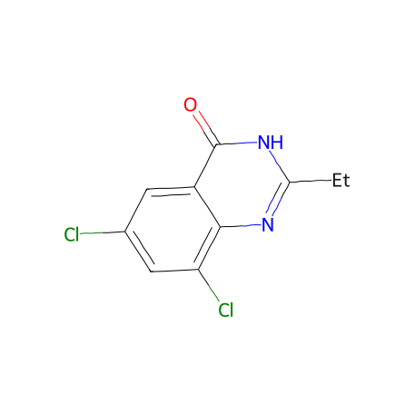 CCc1nc2c(Cl)cc(Cl)cc2c(=O)[nH]1